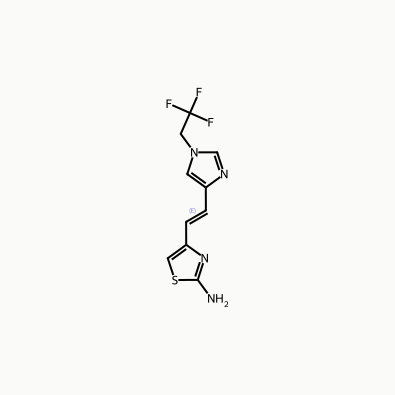 Nc1nc(/C=C/c2cn(CC(F)(F)F)cn2)cs1